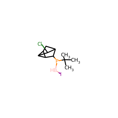 CC(C)(C)P(BI)C1C2CC3C(C2Cl)C31